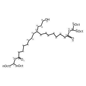 CCCCCCCCC(CCCCCCCC)OC(=O)CCCCCCCN(CCCO)CCCCCCCC(=O)OC(CCCCCCCC)CCCCCCCC